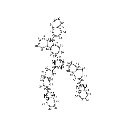 c1ccc2cc(-n3c4ccccc4c4cc(-c5nc(-c6ccc7ccc(-c8nc9ccccc9o8)cc7c6)nc(-c6ccc7ccc(-c8nc9ccccc9o8)cc7c6)n5)ccc43)ccc2c1